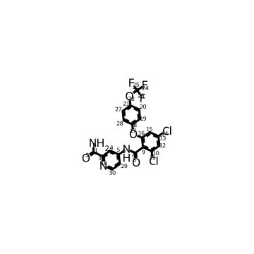 NC(=O)c1cc(NC(=O)c2c(Cl)cc(Cl)cc2Oc2ccc(OC(F)(F)F)cc2)ccn1